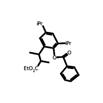 CCOC(=O)C(C)C(C)c1cc(C(C)C)cc(C(C)C)c1OC(=O)c1ccccc1